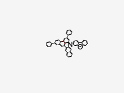 c1ccc(-c2cccc(N(c3ccc4c(c3)oc3ccccc34)c3cc4ccccc4cc3-c3ccc4ccc(-c5ccccc5)cc4c3)c2)cc1